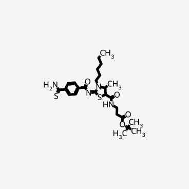 CCCCCCN1C(=NC(=O)c2ccc(C(N)=S)cc2)SC(C(=O)NCCC(=O)OC(C)(C)C)C1C